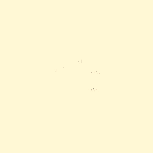 COc1c(C)c2c(c(Cl)c1OC)C(=O)NCC2